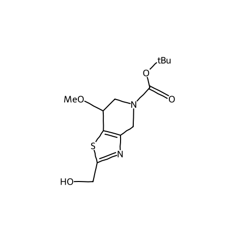 COC1CN(C(=O)OC(C)(C)C)Cc2nc(CO)sc21